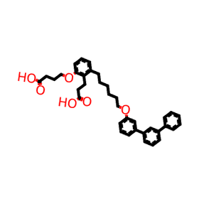 O=C(O)CCCOc1cccc(CCCCCCOc2cccc(-c3cccc(-c4ccccc4)c3)c2)c1CCC(=O)O